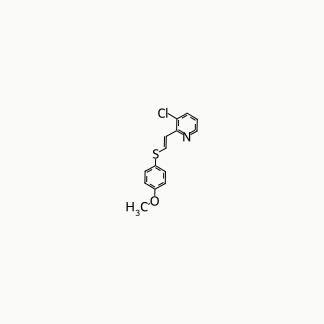 COc1ccc(S/C=C/c2ncccc2Cl)cc1